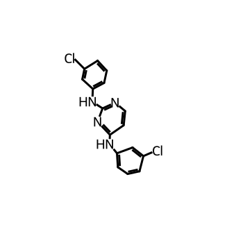 Clc1cccc(Nc2ccnc(Nc3cccc(Cl)c3)n2)c1